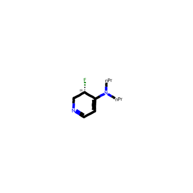 CCCN(CCC)C1=CC=NC[C@@H]1F